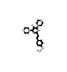 COC1=CCC(/C=C/c2nc(N3CCOCC3)c(F)c(N3CCOCC3)n2)C=C1